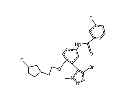 Cn1ncc(Br)c1-c1cc(NC(=O)c2cccc(F)c2)ccc1OCCN1CCC(F)C1